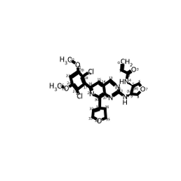 C=CC(=O)N[C@H]1COC[C@H]1Nc1ncc2cc(-c3c(Cl)c(OC)cc(OC)c3Cl)nc(C3=CCOCC3)c2n1